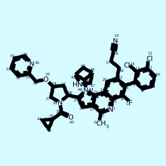 Cc1nc2c(F)c(-c3cccc(Cl)c3Cl)c(CCC#N)cc2c2c1cc(C1CC(OCc3ccccn3)CN1C(=O)C1CC1)n2C1C2CNC1C2